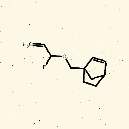 C=CC(F)OCC12C=CC(CC1)C2